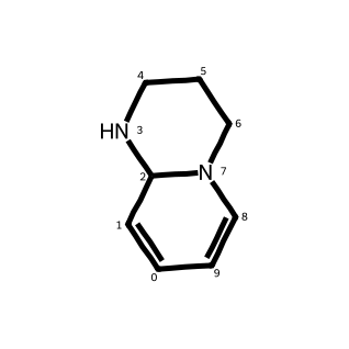 C1=CC2NCCCN2C=C1